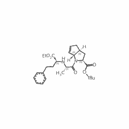 CCOC(=O)[C@H](CCc1ccccc1)N[C@@H](C)C(=O)N1[C@@H]2C=CC[C@H]2C[C@H]1C(=O)OC(C)(C)C